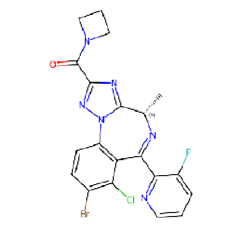 C[C@@H]1N=C(c2ncccc2F)c2c(ccc(Br)c2Cl)-n2nc(C(=O)N3CCC3)nc21